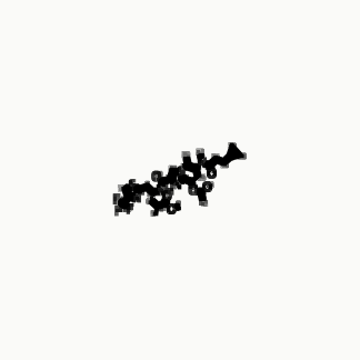 COC(=O)[C@@H](C)C[C@H](Cc1nc(C(F)(F)F)cs1)NC(=O)c1csc([C@@H](CC(=C(C)C)N(C)C(=O)CCC2CC2)OC(C)=O)n1